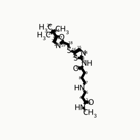 CNC(=O)CCNCCCC(=O)Nc1ncc(SCc2ncc(C(C)(C)C)o2)s1